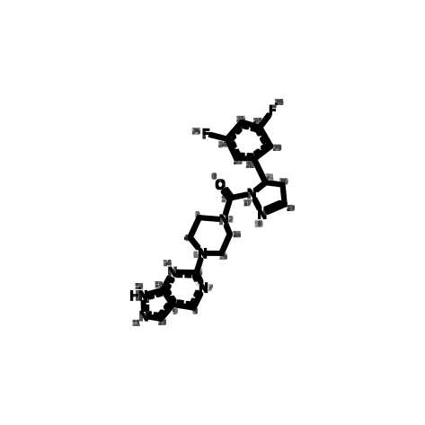 O=C(N1CCN(c2ncc3cn[nH]c3n2)CC1)N1N=CCC1c1cc(F)cc(F)c1